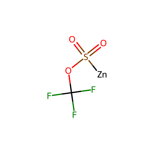 O=[S](=O)([Zn])OC(F)(F)F